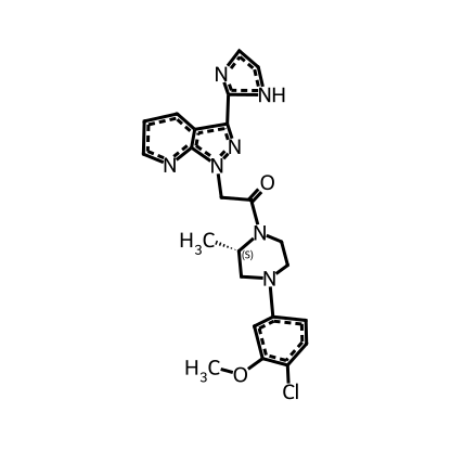 COc1cc(N2CCN(C(=O)Cn3nc(-c4ncc[nH]4)c4cccnc43)[C@@H](C)C2)ccc1Cl